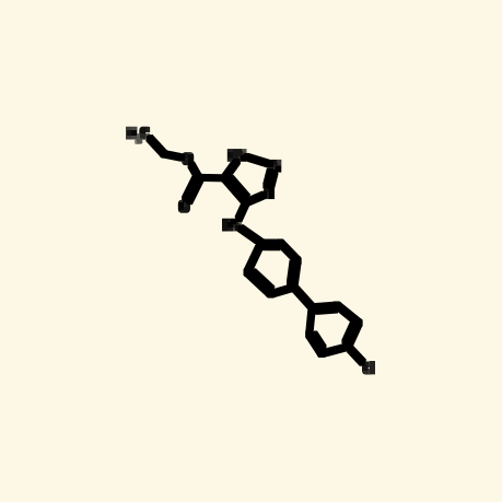 CCOC(=O)c1[nH]nnc1Nc1ccc(-c2ccc(Cl)cc2)cc1